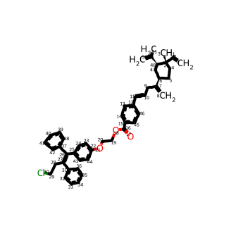 C=C[C@]1(C)CC[C@@H](C(=C)C/C=C/c2ccc(C(=O)OCCOc3ccc(/C(=C(/CCCl)c4ccccc4)c4ccccc4)cc3)cc2)C[C@H]1C(=C)C